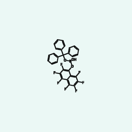 OB(Oc1c(F)c(F)c(F)c2c(F)c(F)c(F)c(F)c12)OC(c1ccccc1)(c1ccccc1)c1ccccc1